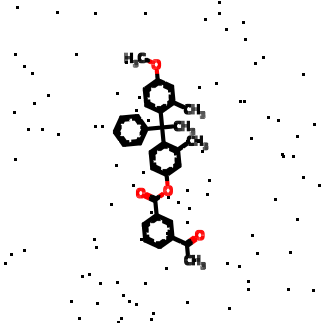 COc1ccc(C(C)(c2ccccc2)c2ccc(OC(=O)c3cccc(C(C)=O)c3)cc2C)c(C)c1